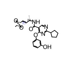 C[C@@H](/C=C/S(C)(=O)=O)NC(=O)c1cnc(C2CCCC2)nc1Oc1cccc(O)c1